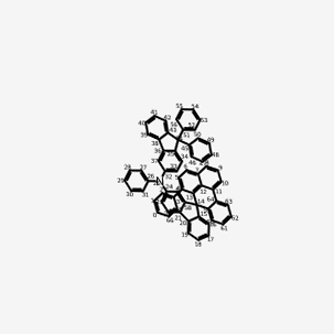 c1ccc(-c2ccc3cccc4c3c2C2(c3ccccc3-c3ccc(N(c5ccccc5)c5ccc6c(c5)-c5ccccc5C6(c5ccccc5)c5ccccc5)cc32)c2ccccc2-4)cc1